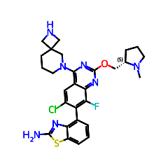 CN1CCC[C@H]1COc1nc(N2CCCC3(CNC3)C2)c2cc(Cl)c(-c3cccc4sc(N)nc34)c(F)c2n1